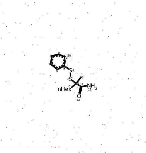 CCCCCCC(C)(SSc1ccccn1)C(N)=O